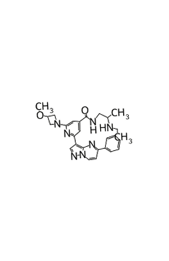 CCNC(C)CNC(=O)c1cc(-c2cnn3ccc(-c4ccccc4)nc23)nc(N2CC(OC)C2)c1